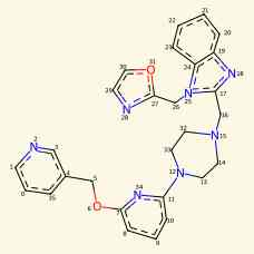 c1cncc(COc2cccc(N3CCN(Cc4nc5ccccc5n4Cc4ncco4)CC3)n2)c1